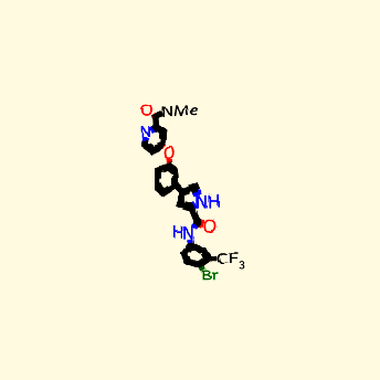 CNC(=O)c1cc(Oc2cccc(-c3c[nH]c(C(=O)Nc4ccc(Br)c(C(F)(F)F)c4)c3)c2)ccn1